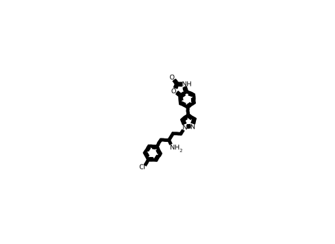 NC(CCn1cc(-c2ccc3[nH]c(=O)oc3c2)cn1)Cc1ccc(Cl)cc1